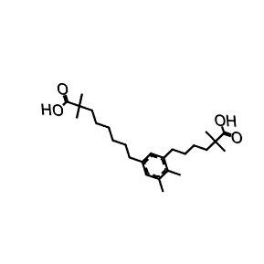 Cc1cc(CCCCCCC(C)(C)C(=O)O)cc(CCCCC(C)(C)C(=O)O)c1C